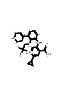 O=C(O)c1cc(C2CC2)ncc1Nc1cccc(C2=CCOCC2)c1OCC(F)(F)F